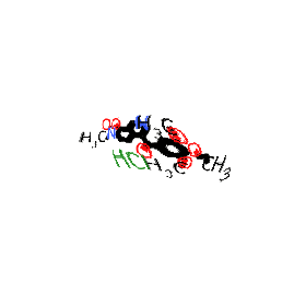 CCCOc1c(OC)cc(C(=O)c2cncc3c2ccc2c3oc(=O)n2CC)cc1OC.Cl